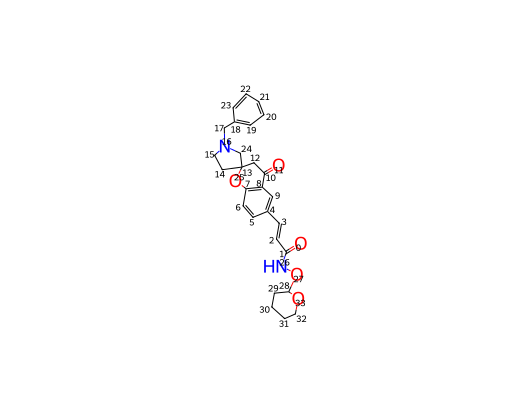 O=C(C=Cc1ccc2c(c1)C(=O)CC1(CCN(Cc3ccccc3)C1)O2)NOC1CCCCO1